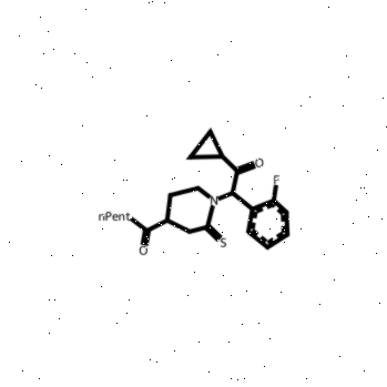 CCCCCC(=O)C1CCN(C(C(=O)C2CC2)c2ccccc2F)C(=S)C1